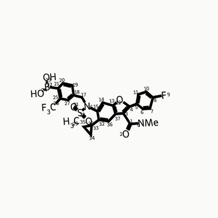 CNC(=O)c1c(-c2ccc(F)cc2)oc2cc(N(Cc3ccc(B(O)O)c(C(F)(F)F)c3)S(C)(=O)=O)c(C3CC3)cc12